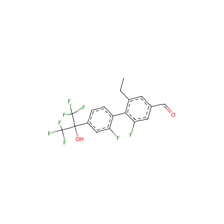 CCc1cc(C=O)cc(F)c1-c1ccc(C(O)(C(F)(F)F)C(F)(F)F)cc1F